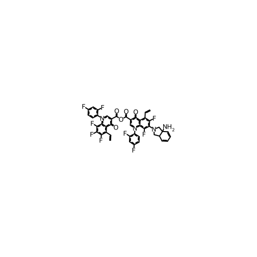 C=Cc1c(F)c(F)c(F)c2c1c(=O)c(C(=O)OC(=O)c1cn(-c3ccc(F)cc3F)c3c(F)c(N4CC5C=CC=CC5(N)C4)c(F)c(C=C)c3c1=O)cn2-c1ccc(F)cc1F